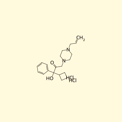 C=CCN1CCN(CC(=O)C(O)(c2ccccc2)C2CCC2)CC1.Cl.Cl